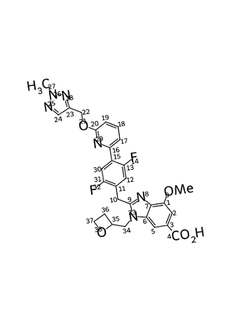 COc1cc(C(=O)O)cc2c1nc(Cc1cc(F)c(-c3cccc(OCc4cnn(C)n4)n3)cc1F)n2CC1CCO1